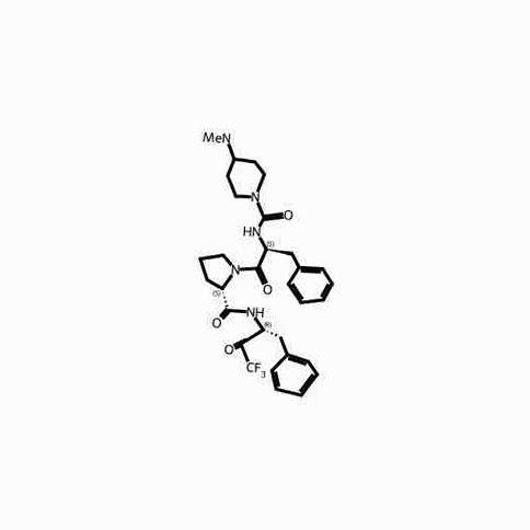 CNC1CCN(C(=O)N[C@@H](Cc2ccccc2)C(=O)N2CCC[C@H]2C(=O)N[C@H](Cc2ccccc2)C(=O)C(F)(F)F)CC1